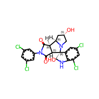 O=C1[C@H]2[C@H]3C[C@H](O)CN3[C@@]3(c4cc(Cl)cc(Cl)c4NC3O)[C@H]2C(=O)N1c1cc(Cl)cc(Cl)c1